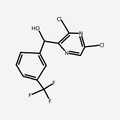 OC(c1cccc(C(F)(F)F)c1)c1ncc(Cl)nc1Cl